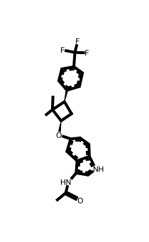 CC(=O)Nc1c[nH]c2ccc(O[C@@H]3C[C@H](c4ccc(C(F)(F)F)cc4)C3(C)C)cc12